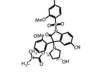 COc1ccc(S(=O)(=O)N2C(=O)C(c3ccccc3OC)(N3C[C@H](O)C[C@@H]3OC(=O)N(C)C)c3cc(C#N)ccc32)c(OC)c1